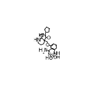 NC1=NS(O)(O)Nc2cccc(OCC3(C(=O)NC4CCCC4)CCCNC3=O)c21